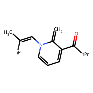 C=C1C(C(=O)CCC)=CC=CN1/C=C(/C)C(C)C